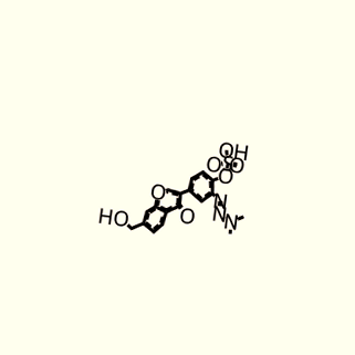 CN(C)N=Nc1cc(-c2coc3cc(CO)ccc3c2=O)ccc1OS(=O)(=O)O